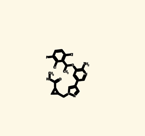 CNC(=O)C1CC1Cn1cc(-c2cnc(N)c(OC(C)c3c(Cl)ccc(F)c3Cl)c2)cn1